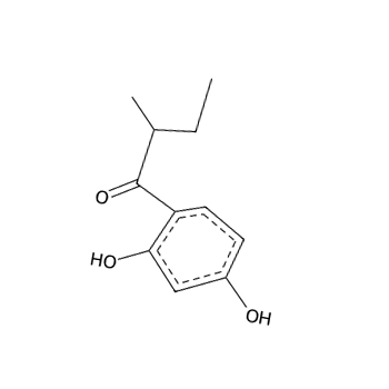 CCC(C)C(=O)c1ccc(O)cc1O